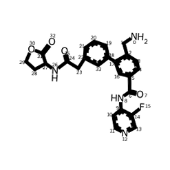 NCc1ccc(C(=O)Nc2ccncc2F)cc1-c1cccc(CC(=O)NC2CCOC2=O)c1